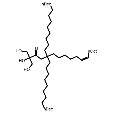 CCCCCCCC/C=C\CCCCCC(CCCCCCCCCCCCCCCCCC)(CCCCCCCCCCCCCCCCCC)CC(=O)C(O)(CO)CO